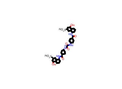 O=C(Nc1ccc(C(=O)Nc2cccc3c(O)cc(S(=O)(=O)O)cc23)cc1)C(=O)Nc1ccc(C(=O)Nc2cccc3c(O)cc(S(=O)(=O)O)cc23)cc1